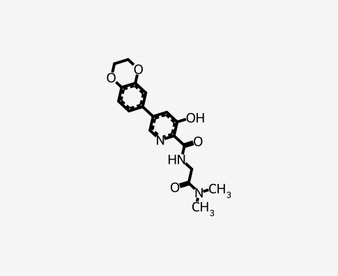 CN(C)C(=O)CNC(=O)c1ncc(-c2ccc3c(c2)OCCO3)cc1O